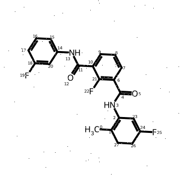 CC1=C(NC(=O)c2cccc(C(=O)Nc3cccc(F)c3)c2F)C=C(F)CC1